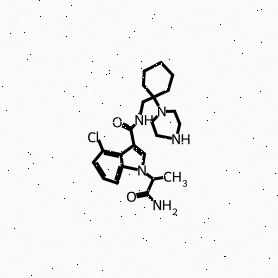 CC(C(N)=O)n1cc(C(=O)NCC2(N3CCNCC3)CCCCC2)c2c(Cl)cccc21